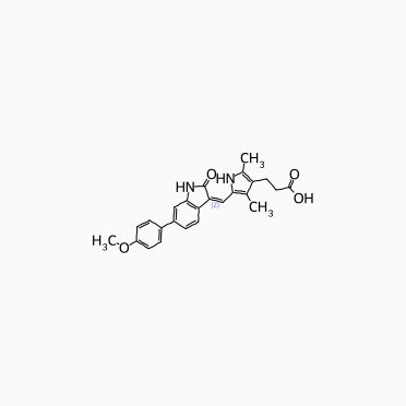 COc1ccc(-c2ccc3c(c2)NC(=O)/C3=C\c2[nH]c(C)c(CCC(=O)O)c2C)cc1